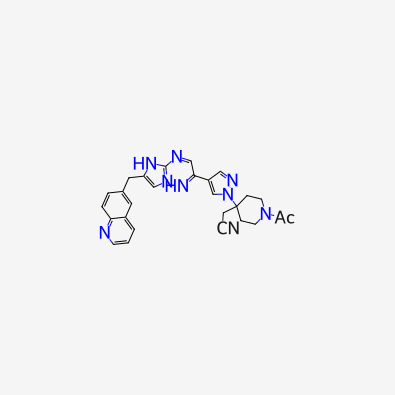 CC(=O)N1CCC(CC#N)(n2cc(C(=N)/C=N\c3ncc(Cc4ccc5ncccc5c4)[nH]3)cn2)CC1